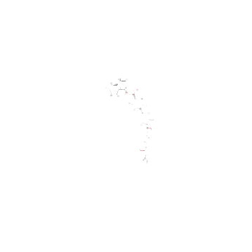 C=CC(=O)OCCOC(=O)C1CCC(C2CCC(C(=O)Oc3cccc4ccccc34)CC2)CC1